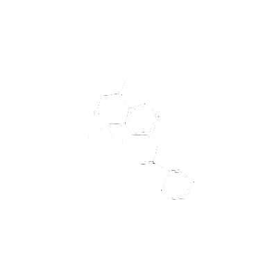 CN1CNS(O)(O)c2cc(OC(=O)c3ccccc3)ccc21